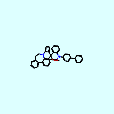 c1ccc(-c2ccc(N3c4ccccc4C4(c5ccccc5N5CCc6ccccc6-c6cccc4c65)c4ccccc43)cc2)cc1